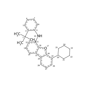 CC(C)(C)c1ccccc1Nc1cccc2c1oc1c(C3CCCCC3)cccc12